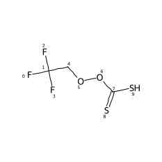 FC(F)(F)COOC(=S)S